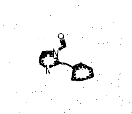 O=Cn1ccnc1-c1ccccc1